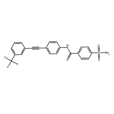 NS(=O)(=O)c1ccc(C(=O)Nc2ccc(C#Cc3cccc(C(F)(F)F)c3)cc2)cc1